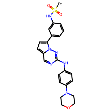 CCS(=O)(=O)Nc1cccc(-c2ccc3cnc(Nc4ccc(N5CCOCC5)cc4)nn23)c1